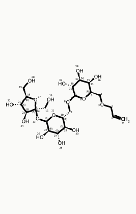 C=CCOC[C@H]1OC(OC[C@H]2OC(O[C@]3(CO)O[C@H](CO)[C@@H](O)[C@@H]3O)[C@H](O)[C@@H](O)[C@@H]2O)[C@H](O)[C@@H](O)[C@H]1O